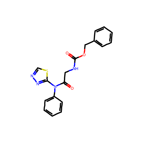 O=C(NCC(=O)N(c1ccccc1)c1nncs1)OCc1ccccc1